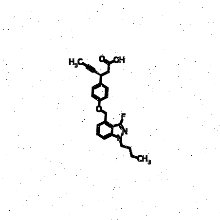 CC#C[C@@H](CC(=O)O)c1ccc(OCc2cccc3c2c(F)nn3CCCC)cc1